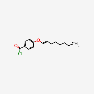 CCCCCCC=COc1ccc(C(=O)Cl)cc1